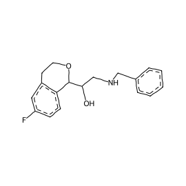 OC(CNCc1ccccc1)C1OCCc2cc(F)ccc21